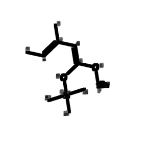 CC=C(C)/C=C(/OC(C)(C)C)O[Si](C)(C)C